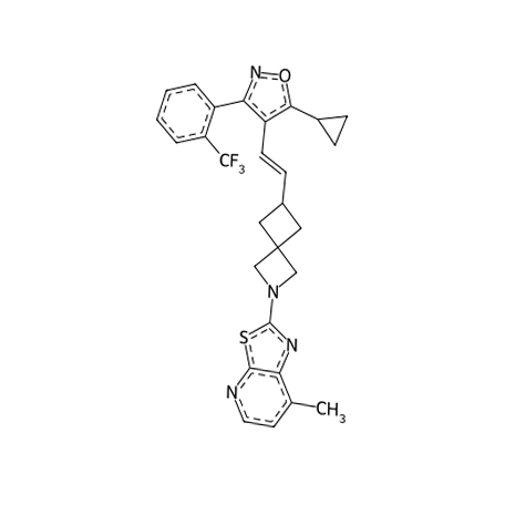 Cc1ccnc2sc(N3CC4(CC(/C=C/c5c(-c6ccccc6C(F)(F)F)noc5C5CC5)C4)C3)nc12